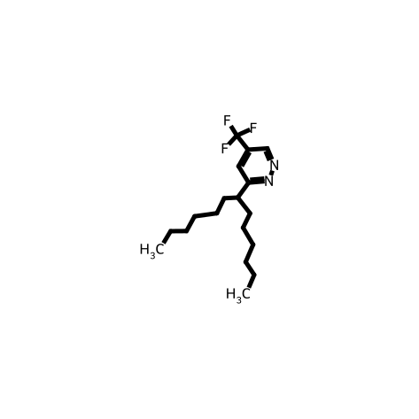 CCCCCCC(CCCCCC)c1cc(C(F)(F)F)cnn1